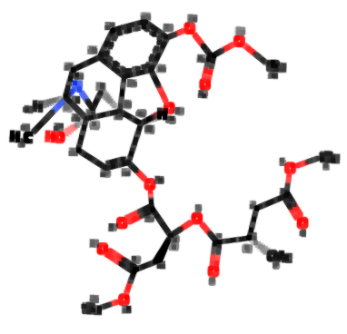 CC(=O)O[C@@H](CC(=O)OC(C)(C)C)C(=O)O[C@@H](CC(=O)OC(C)(C)C)C(=O)OC1=CC[C@@]2(O)[C@H]3Cc4ccc(OC(=O)OC(C)(C)C)c5c4[C@@]2(CCN3C)[C@H]1O5